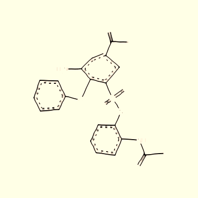 CC(=O)Nc1ccccc1NS(=O)(=O)c1cc(C(=O)O)cc(N)c1Oc1ccccc1